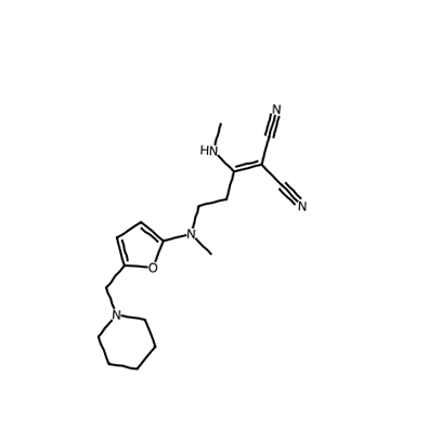 CNC(CCN(C)c1ccc(CN2CCCCC2)o1)=C(C#N)C#N